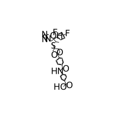 CC(SC1COC(c2ccc(C(=O)Nc3ccc(C(=O)O)cc3)cc2)OC1)C(O)(Cn1cncn1)c1ccc(F)cc1F